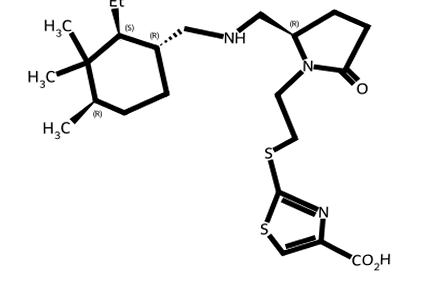 CC[C@H]1[C@H](CNC[C@H]2CCC(=O)N2CCSc2nc(C(=O)O)cs2)CC[C@@H](C)C1(C)C